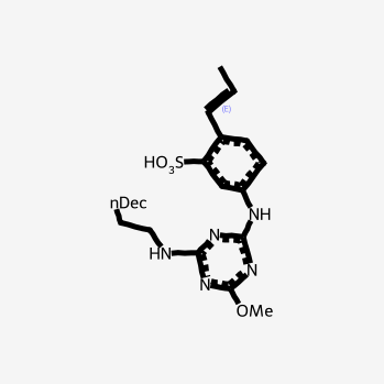 C/C=C/c1ccc(Nc2nc(NCCCCCCCCCCCC)nc(OC)n2)cc1S(=O)(=O)O